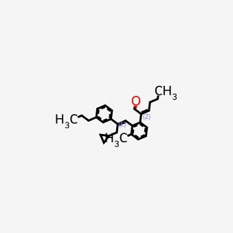 CCC/C=C(\C=O)c1cccc(C)c1/C=C(\CC1CC1)c1cccc(CCC)c1